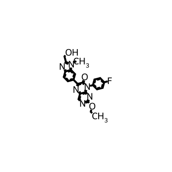 CCOc1ncc2nc(-c3ccc4nc(CO)n(C)c4c3)c(=O)n(-c3ccc(F)cc3)c2n1